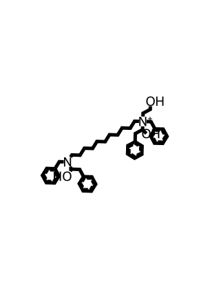 OCC[N+](CCCCCCCCCCCN(Cc1ccccc1)C(O)Cc1ccccc1)(Cc1ccccc1)C(O)Cc1ccccc1